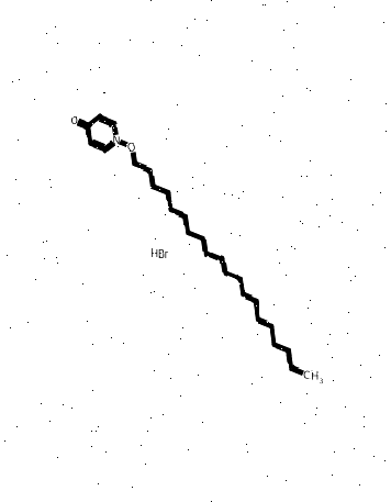 Br.CCCCCCCCCCCCCCCCCCCCOn1ccc(=O)cc1